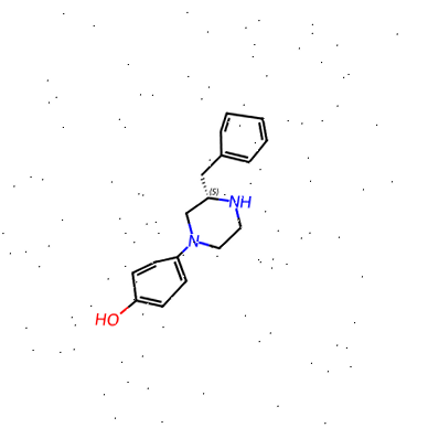 Oc1ccc(N2CCN[C@@H](Cc3ccccc3)C2)cc1